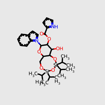 CC(C)[Si]1(C(C)C)OCC2OC(n3ccc4ccccc43)C(OC(=O)c3ccc[nH]3)C(O)C2O[Si](C(C)C)(C(C)C)O1